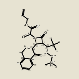 C=CCOC(=O)C(Cl)N1C(=O)[C@@H]([C@@H](CO[SiH](C)C)C(C)(C)C)[C@H]1[C@H]1CCc2ccccc2C1=O